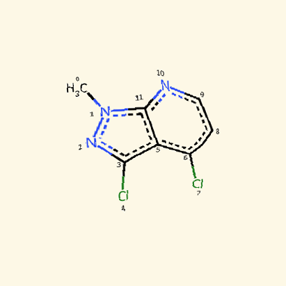 Cn1nc(Cl)c2c(Cl)ccnc21